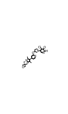 Cc1nn(CC2(F)COC2)c(C)c1-c1ccnc(O[C@@H]2CCN(c3cn[nH]c(=O)c3Cl)C2)c1